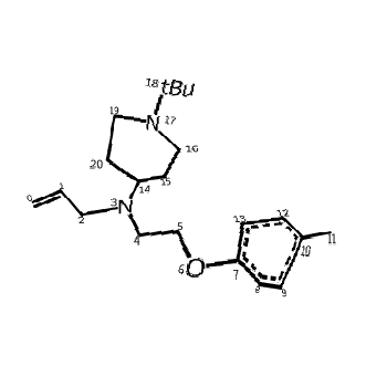 C=CCN(CCOc1ccc(C)cc1)C1CCN(C(C)(C)C)CC1